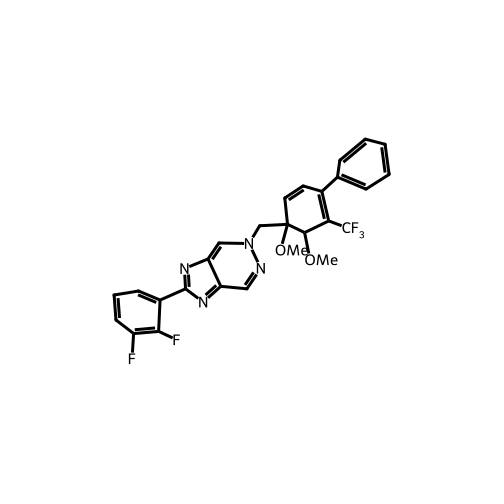 COC1C(C(F)(F)F)=C(c2ccccc2)C=CC1(Cn1cc2nc(-c3cccc(F)c3F)nc-2cn1)OC